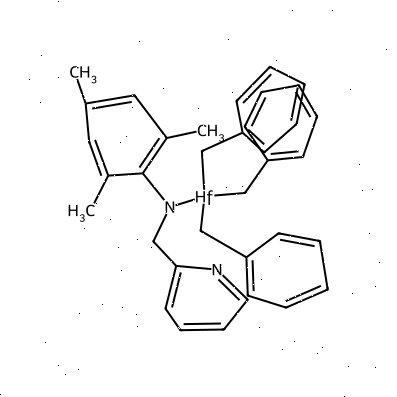 Cc1cc(C)c([N](Cc2ccccn2)[Hf]([CH2]c2ccccc2)([CH2]c2ccccc2)[CH2]c2ccccc2)c(C)c1